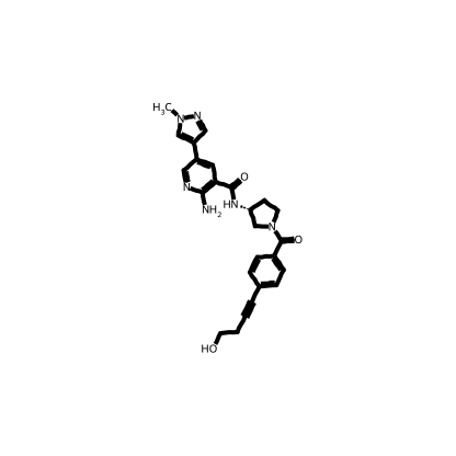 Cn1cc(-c2cnc(N)c(C(=O)N[C@@H]3CCN(C(=O)c4ccc(C#CCCO)cc4)C3)c2)cn1